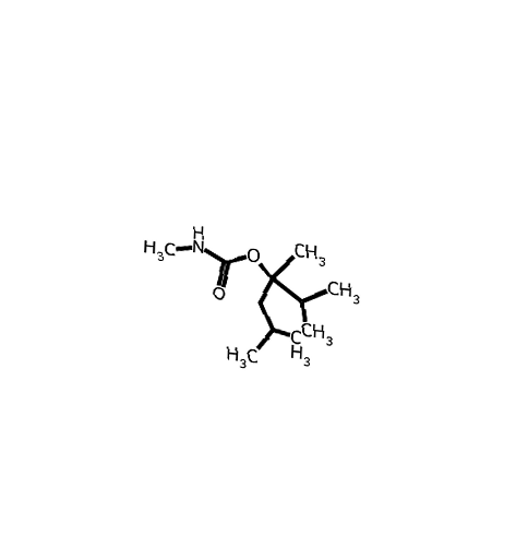 CNC(=O)OC(C)(CC(C)C)C(C)C